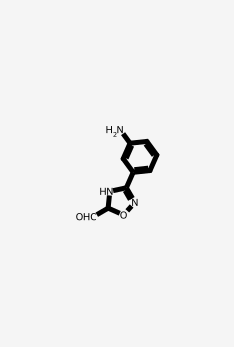 Nc1cccc(C2=NOC(C=O)N2)c1